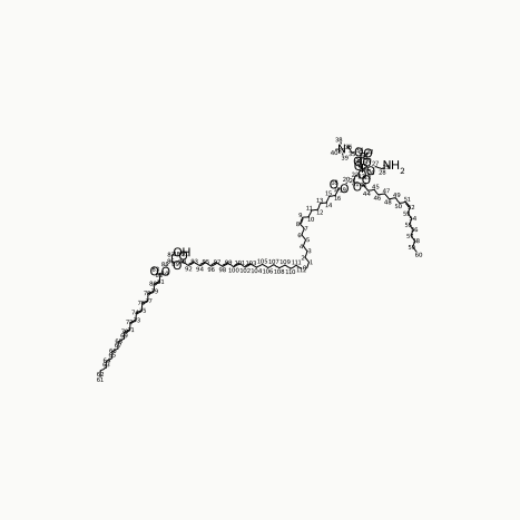 CCCCCCCC/C=C\CCCCCCCC(=O)OC[C@H](COP(=O)(OCCN)OP(=O)([O-])OCC[N+](C)(C)C)OC(=O)CCCCCCC/C=C\CCCCCCCC.CCCCCCCCCC=CC=CC=CC=CC=CC=CC(=O)OC[C@H](CO)OC(=O)C=CC=CC=CC=CC=CC=CCCCCCCCCC